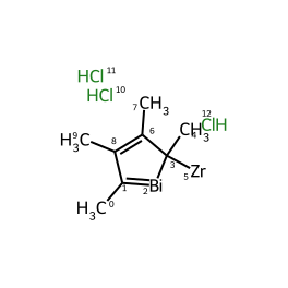 C[C]1=[Bi][C](C)([Zr])C(C)=C1C.Cl.Cl.Cl